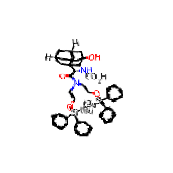 CC(C)(C)[Si](OCCN(CCO[Si](c1ccccc1)(c1ccccc1)C(C)(C)C)C(=O)[C@@H](NC(=O)O)C12C[C@@H]3C[C@@H](CC(O)(C3)C1)C2)(c1ccccc1)c1ccccc1